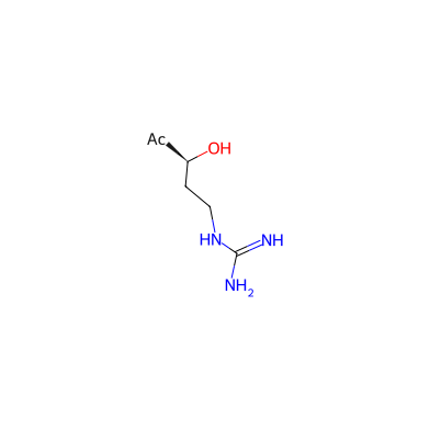 CC(=O)[C@@H](O)CCNC(=N)N